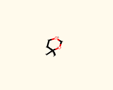 CC1(C)CCOCO1